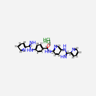 Cl.Cl.N=C(Nc1ccc(C(=O)Nc2ccc(NC(=N)c3ccccn3)cn2)cc1)c1ccccn1